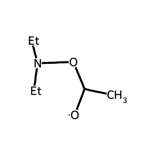 CCN(CC)OC(C)[O]